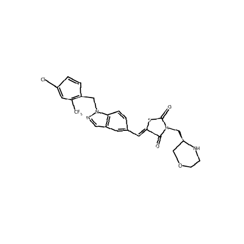 O=C1S/C(=C\c2ccc3c(cnn3Cc3ccc(Cl)cc3C(F)(F)F)c2)C(=O)N1C[C@@H]1COCCN1